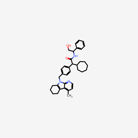 Cc1ccnc2c1c1c(n2Cc2ccc(C(C(=O)NC(CO)c3ccccc3)C3CCCCCC3)cc2)CCCC1